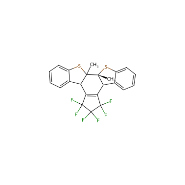 CC12Sc3ccccc3C1C1=C(C3c4ccccc4S[C@]32C)C(F)(F)C(F)(F)C1(F)F